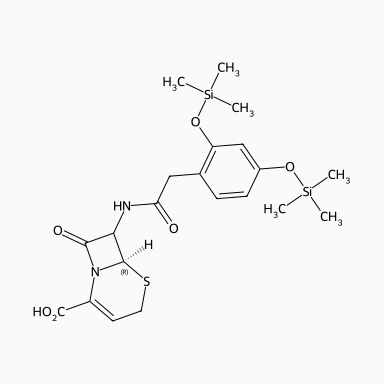 C[Si](C)(C)Oc1ccc(CC(=O)NC2C(=O)N3C(C(=O)O)=CCS[C@H]23)c(O[Si](C)(C)C)c1